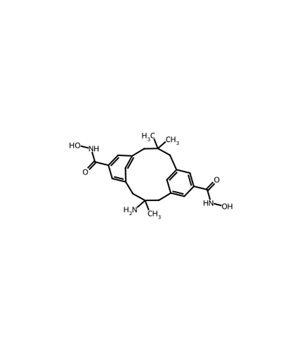 CC1(C)Cc2cc(cc(C(=O)NO)c2)CC(C)(N)Cc2cc(cc(C(=O)NO)c2)C1